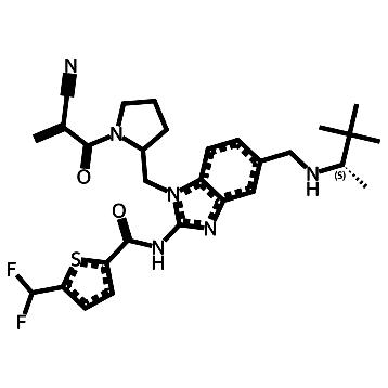 C=C(C#N)C(=O)N1CCCC1Cn1c(NC(=O)c2ccc(C(F)F)s2)nc2cc(CN[C@@H](C)C(C)(C)C)ccc21